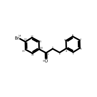 O=C(CCc1ccccc1)c1ccc(Br)cc1